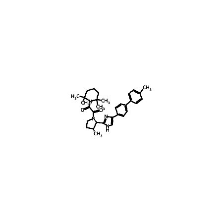 Cc1ccc(-c2ccc(-c3c[nH]c(C4[C@@H](C)CCN4C(=O)C(=O)N4C(C)(C)CCCC4(C)C)n3)cc2)cc1